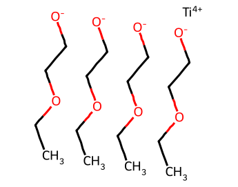 CCOCC[O-].CCOCC[O-].CCOCC[O-].CCOCC[O-].[Ti+4]